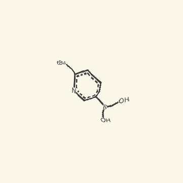 CC(C)(C)c1ccc(B(O)O)cn1